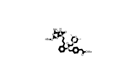 CCCCOc1nc(N)c2[nH]c(=O)n(CCCc3ccccc3N(Cc3ccc(CC(=O)OC)cc3)C(=O)CN3C[C@@H](C)O[C@@H](C)C3)c2n1